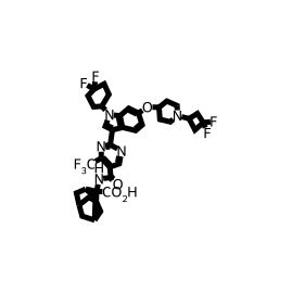 O=C(NC1(C(=O)O)C2CC3CC(C2)CC1C3)c1cnc(-c2cn(C3CCC(F)(F)CC3)c3cc(OC4CCN(C5CC(F)(F)C5)CC4)ccc23)nc1C(F)(F)F